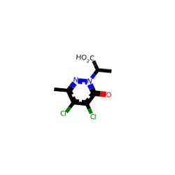 Cc1nn(C(C)C(=O)O)c(=O)c(Cl)c1Cl